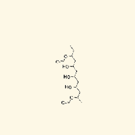 CCC(CC(O)CC(O)CC(O)CC(C)OC=O)OC=O